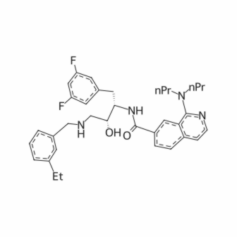 CCCN(CCC)c1nccc2ccc(C(=O)N[C@@H](Cc3cc(F)cc(F)c3)[C@H](O)CNCc3cccc(CC)c3)cc12